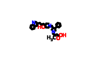 C[C@H](CC(=O)O)CN1CC(CN2CCC(O)(CCCc3cnc4ccccc4c3)CC2)C(c2ccccc2)C1